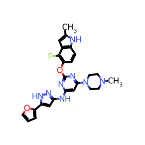 Cc1cc2c(F)c(Oc3nc(Nc4cc(-c5ccco5)[nH]n4)cc(N4CCN(C)CC4)n3)ccc2[nH]1